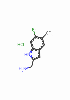 Cl.NCc1cc2cc(C(F)(F)F)c(Br)cc2[nH]1